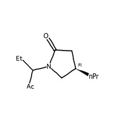 CCC[C@@H]1CC(=O)N(C(CC)C(C)=O)C1